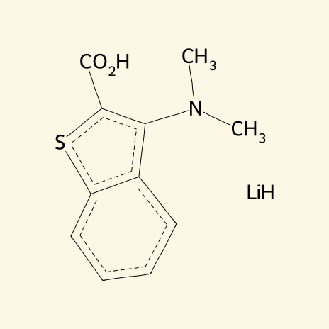 CN(C)c1c(C(=O)O)sc2ccccc12.[LiH]